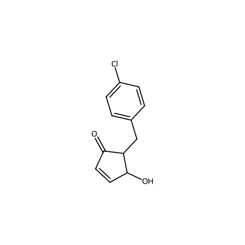 O=C1C=CC(O)C1Cc1ccc(Cl)cc1